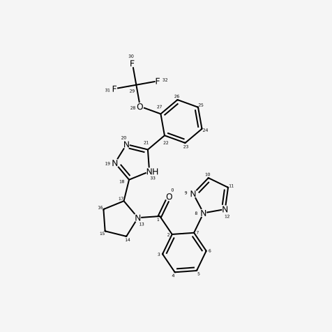 O=C(c1ccccc1-n1nccn1)N1CCCC1c1nnc(-c2ccccc2OC(F)(F)F)[nH]1